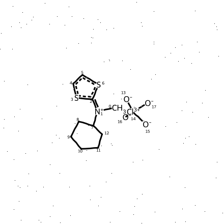 C[N+](=c1sccs1)C1CCCCC1.[O-][Cl+3]([O-])([O-])[O-]